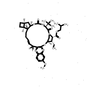 CC[C@@H]1[C@@H]2CN(C(=O)[C@H](C(C)(C)C)NC(=O)O[C@@H]3C[C@@H]4CC[C@@H]4[C@H]3CC/C=C/C(F)(F)c3nc4ccc(OC)cc4nc3O2)[C@@H]1C(=O)OCC(C)C